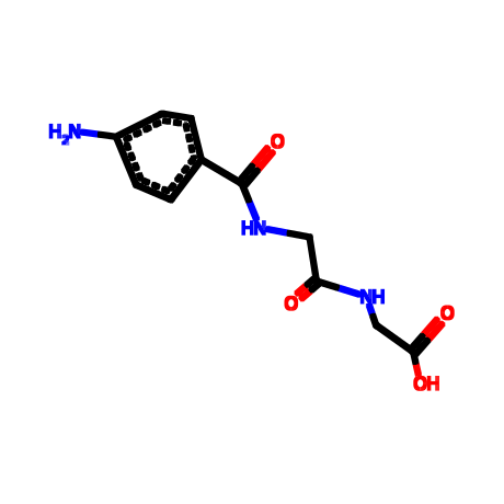 Nc1ccc(C(=O)NCC(=O)NCC(=O)O)cc1